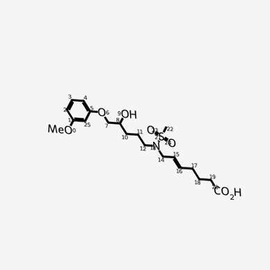 COc1cccc(OCC(O)CCCN(CC=CCCCC(=O)O)S(C)(=O)=O)c1